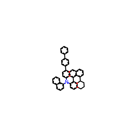 c1ccc(-c2ccc(-c3ccc(N(c4ccccc4-c4cccc5cccc(C6CCCCC6)c45)c4cccc5ccccc45)cc3)cc2)cc1